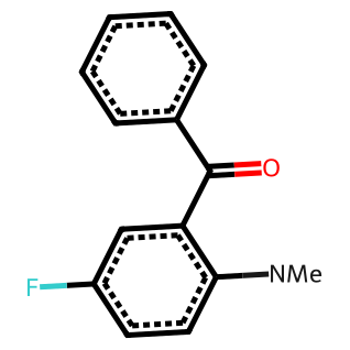 CNc1ccc(F)cc1C(=O)c1ccccc1